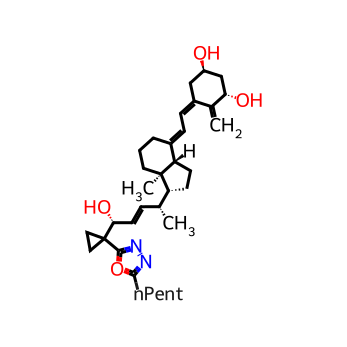 C=C1/C(=C\C=C2/CCC[C@]3(C)[C@@H]([C@H](C)/C=C/[C@@H](O)C4(c5nnc(CCCCC)o5)CC4)CC[C@@H]23)C[C@@H](O)C[C@@H]1O